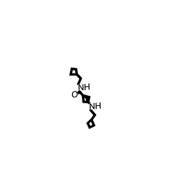 O=C(NCCC1CCC1)C12CC(NCCC3CCC3)(C1)C2